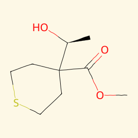 COC(=O)C1([C@H](C)O)CCSCC1